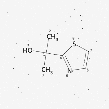 CC(C)(O)c1n[c]cs1